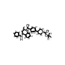 CC1CC(Nc2ccccc2)c2ccccc2N1C(=O)c1ccc(C2CCN(C(=O)OC(C)(C)C)CC2)cc1